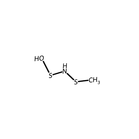 CSNSO